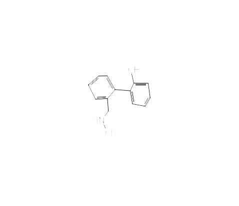 CNCc1ccccc1-c1ccccc1C